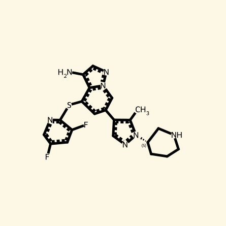 Cc1c(-c2cc(Sc3ncc(F)cc3F)c3c(N)cnn3c2)cnn1[C@H]1CCCNC1